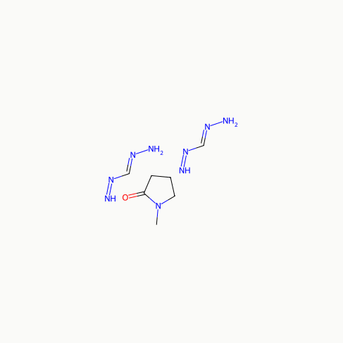 CN1CCCC1=O.N=NC=NN.N=NC=NN